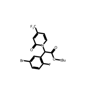 CC(C)(C)OC(=O)C(c1cc(Br)ccc1F)n1ccc(C(F)(F)F)cc1=O